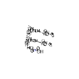 CC(C)(C)c1nc(N2CCN(CCCCn3ccc(-c4ccsc4)nc3=O)CC2)cc(C(F)(F)F)n1.CC(C)(C)c1nc(N2CCN(CCCCn3ccc(-c4ccsc4)nc3=O)CC2)cc(C(F)(F)F)n1.O=C(O)/C=C/C(=O)O